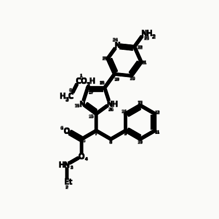 CC(=O)O.CCNOC(=O)C(Cc1ccccc1)c1ncc(-c2ccc(N)nc2)[nH]1